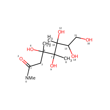 CNC(=O)CC(C)(O)C(C)(O)C(C)(O)C(O)CO